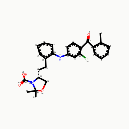 Cc1ccccc1C(=O)c1ccc(Nc2ccccc2CC[C@@H]2COC(C)(C)N2C(=O)O)cc1Cl